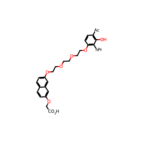 CCCc1c(OCCOCCOCCOc2ccc3ccc(OCC(=O)O)cc3c2)ccc(C(C)=O)c1O